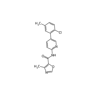 Cc1ccc(Cl)c(-c2ccc(NC(=O)c3ocnc3C)nc2)c1